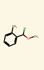 COC(Br)c1ccccc1C